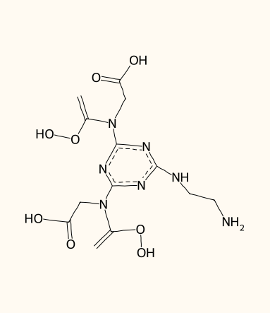 C=C(OO)N(CC(=O)O)c1nc(NCCN)nc(N(CC(=O)O)C(=C)OO)n1